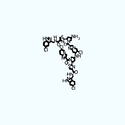 N[C@@H]1C[C@@H](c2nc(C(=O)NCc3n[nH]c4ccc(Cl)cc34)cs2)N(C(=O)c2cn3cc(Cl)c(N[C@@H]4C[C@@H](c5nc(C(=O)NCc6n[nH]c7cc(Cl)ccc67)cs5)N(C(=O)c5cn6cc(Cl)ccc6n5)C4)cc3n2)C1